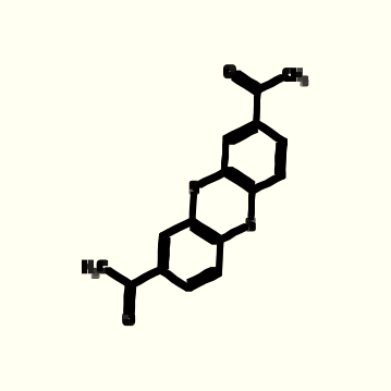 CC(=O)c1ccc2c(c1)Sc1cc(C(C)=O)ccc1S2